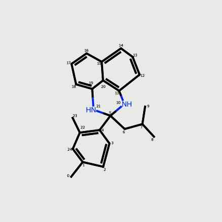 Cc1ccc(C2(CC(C)C)Nc3cccc4cccc(c34)N2)c(C)c1